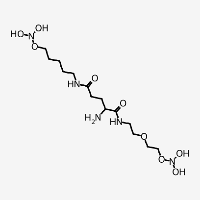 NC(CCC(=O)NCCCCCON(O)O)C(=O)NCCOCCON(O)O